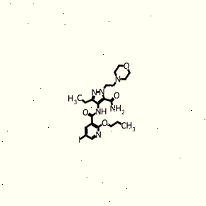 CCCOc1ncc(I)cc1C(=O)Nc1c(CC)nn(CCN2CCOCC2)c1C(N)=O